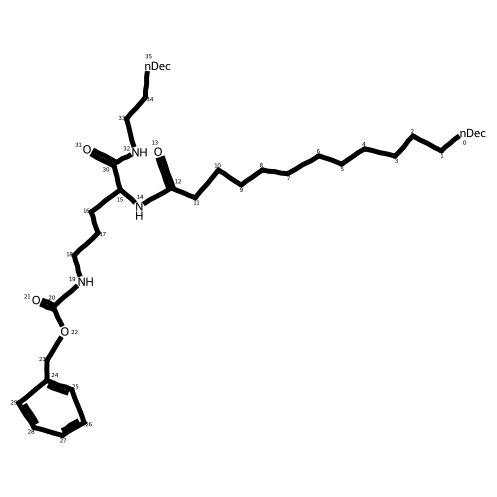 CCCCCCCCCCCCCCCCCCCCCC(=O)NC(CCCNC(=O)OCc1ccccc1)C(=O)NCCCCCCCCCCCC